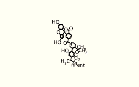 CCCCCC(C)C(C)c1cc(O)c2c(c1)OC(C)(C)C1=C2CN(C(=O)c2ccc3c(c2)C2(OC3=O)c3ccc(O)cc3Oc3cc(O)ccc32)CC1